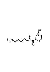 CC(=O)N1CCOC(C(=O)NCCCCCN)C1